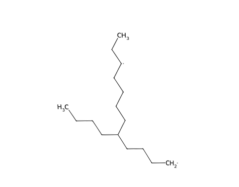 [CH2]CCCC(CCCC)CCCC[CH]CC